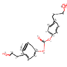 O=C(Oc1ccc(CCO)cc1)Oc1ccc(CCO)cc1